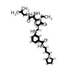 C=C(C)CNC(=O)/C(N)=C1\S[C@H](CNc2cccc(C(=O)NCCCN3CCCC3)c2)C(=O)N1CC